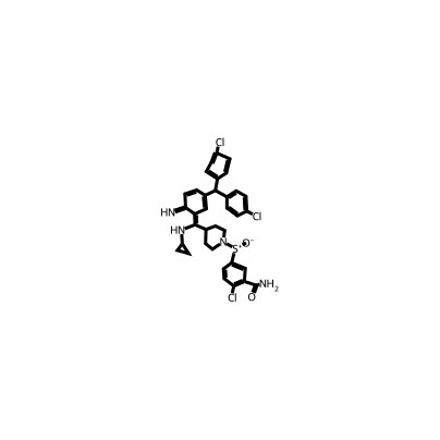 N=C1C=CC(C(c2ccc(Cl)cc2)c2ccc(Cl)cc2)=C/C1=C(/NC1CC1)C1CCN([S+]([O-])c2ccc(Cl)c(C(N)=O)c2)CC1